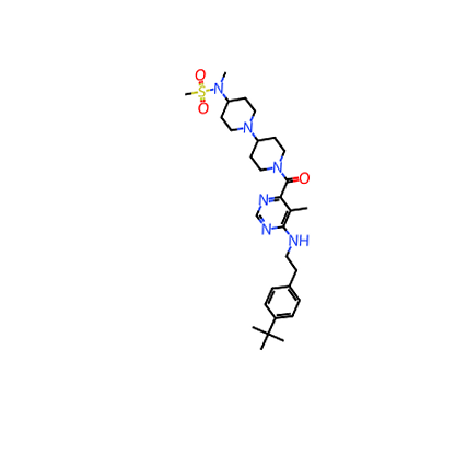 Cc1c(NCCc2ccc(C(C)(C)C)cc2)ncnc1C(=O)N1CCC(N2CCC(N(C)S(C)(=O)=O)CC2)CC1